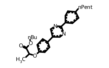 CCCCCc1ccc(-c2ncc(-c3ccc(OC(C)C(=O)OCCCC)cc3)cn2)cc1